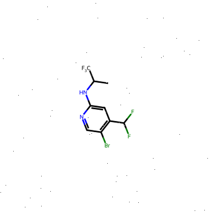 CC(Nc1cc(C(F)F)c(Br)cn1)C(F)(F)F